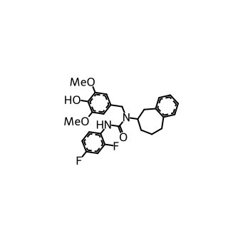 COc1cc(CN(C(=O)Nc2ccc(F)cc2F)C2CCCc3ccccc3C2)cc(OC)c1O